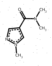 CN(C)C(=O)c1cnn(C)c1